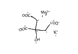 O=C([O-])CC(O)(CC(=O)[O-])C(=O)[O-].[K+].[Mg+2]